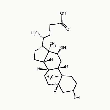 C[C@H](CCC(=O)O)[C@H]1CC[C@H]2[C@H]3CC[C@H]4C[C@H](O)CC[C@]4(C)[C@H]3C[C@H](O)[C@]12C